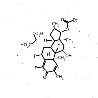 CCC(=O)O[C@@H]1[C@H](C)C[C@H]2[C@@H]3C[C@H](F)C4=C(F)C(=O)C(C)=C[C@]4(C)[C@@]3(F)[C@@H](O)C[C@]12C.O=C(O)SC(=O)O